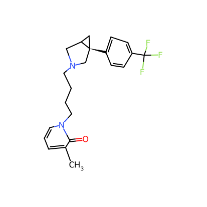 Cc1cccn(CCCCN2CC3C[C@]3(c3ccc(C(F)(F)F)cc3)C2)c1=O